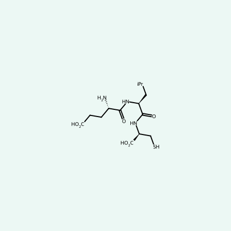 CC(C)C[C@H](NC(=O)[C@@H](N)CCC(=O)O)C(=O)N[C@@H](CS)C(=O)O